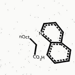 CCCCCCCCCC(=O)O.c1ccc2ncccc2c1